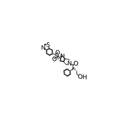 O=C([C@H](CCO)c1ccccc1)N1Cc2cn(S(=O)(=O)c3ccc4ncsc4c3)nc2C1